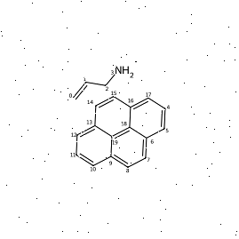 C=CCN.c1cc2ccc3cccc4ccc(c1)c2c34